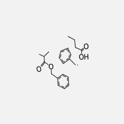 CC(C)C(=O)OCc1ccccc1.CCCC(=O)O.[CH2]c1ccccc1